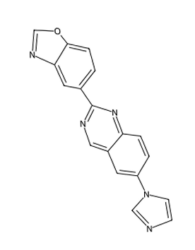 c1cn(-c2ccc3nc(-c4ccc5ocnc5c4)ncc3c2)cn1